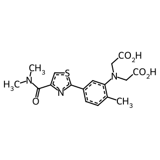 Cc1ccc(-c2nc(C(=O)N(C)C)cs2)cc1N(CC(=O)O)CC(=O)O